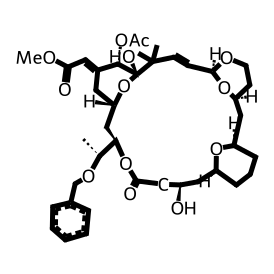 COC(=O)/C=C1\C[C@H]2C[C@H]([C@@H](C)OCc3ccccc3)OC(=O)C[C@H](O)C[C@@H]3CCC[C@H](C[C@@H]4CCO[C@H](/C=C/C(C)(C)[C@](O)(O2)[C@H]1OC(C)=O)O4)O3